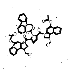 CC(=O)Oc1cc2c(c3ccccc13)[C@H](CCl)CN2C(=O)C1=C=C=C(C(=O)N2C[C@@H](CCl)c3c2cc(OC(C)=O)c2ccccc32)N1C(=O)OCC1c2ccccc2-c2ccccc21